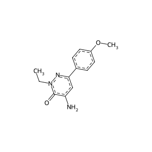 CCn1nc(-c2ccc(OC)cc2)cc(N)c1=O